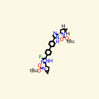 CC(C)(C)OC(=O)N1C(c2nc(F)c(-c3ccc(-c4ccc(-c5cnc([C@@H]6C[C@@H]7C[C@H]7N6C(=O)OC(C)(C)C)[nH]5)cc4)cc3)[nH]2)CC2CC21